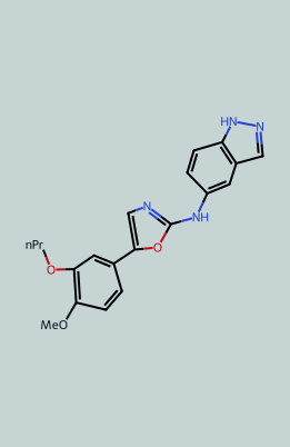 CCCOc1cc(-c2cnc(Nc3ccc4[nH]ncc4c3)o2)ccc1OC